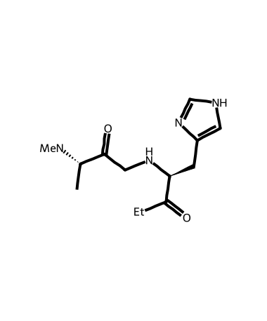 CCC(=O)[C@H](Cc1c[nH]cn1)NCC(=O)[C@H](C)NC